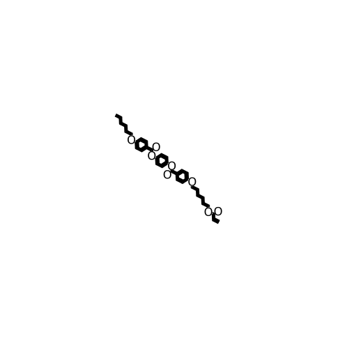 C=CC(=O)OCCCCCCOc1ccc(C(=O)Oc2ccc(OC(=O)c3ccc(OCCCCCC)cc3)cc2)cc1